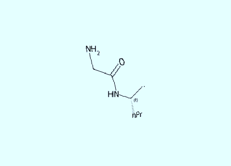 [CH2]CC[C@@H]([CH2])NC(=O)CN